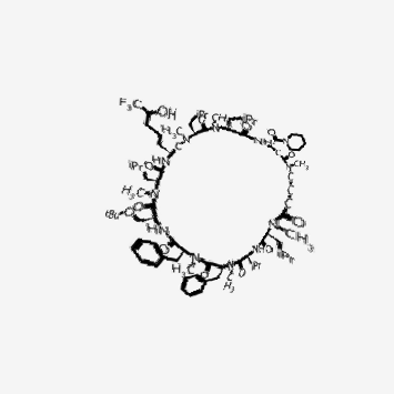 CC(C)C[C@H]1C(=O)N(C)[C@@H](CC(C)C)C(=O)N[C@H](C(=O)N2CCCCC2)CC(=O)N(C)CCCC(=O)N(C)[C@@H](CC(C)C)C(=O)N[C@@H](C(C)C)C(=O)N(C)[C@@H](Cc2ccccc2)C(=O)N(C)[C@@H](Cc2ccccc2)C(=O)N[C@@H](COC(C)(C)C)C(=O)N(C)[C@@H](CC(C)C)C(=O)N[C@@H](CCCC(O)C(F)(F)F)CN1C